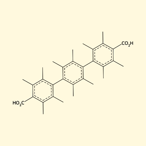 Cc1c(C)c(-c2c(C)c(C)c(-c3c(C)c(C)c(C(=O)O)c(C)c3C)c(C)c2C)c(C)c(C)c1C(=O)O